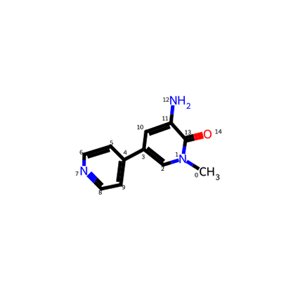 Cn1cc(-c2ccncc2)cc(N)c1=O